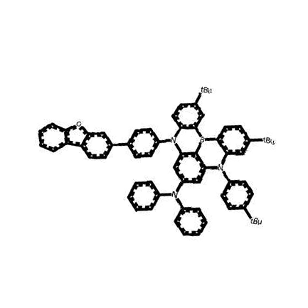 CC(C)(C)c1ccc(N2c3cc(C(C)(C)C)ccc3B3c4cc(C(C)(C)C)ccc4N(c4ccc(-c5ccc6c(c5)oc5ccccc56)cc4)c4cc(N(c5ccccc5)c5ccccc5)cc2c43)cc1